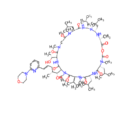 CC(C)C[C@@H]1C(=O)N[C@H](CC(C)C)C(=O)N(C)C(C(C)C)C(=O)N(C)C([C@H](O)[C@H](C)C/C=C/c2cccc(N3CCOCC3)n2)C(=O)NC([C@@H](C)O)C(=O)N(C)CC(=O)N(C)[C@@H](CC(C)C)C(=O)N[C@H](CC(C)C)N(C)[C@H](CC(C)C)N[C@H](C)C(=O)OC(=O)N1C